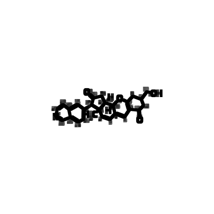 C[C@]12C=CC3=CC4=C(CC(CO)CC4=O)O[C@H]3[C@@H]1CC(=O)[C@@H]2c1ccc2cnccc2c1